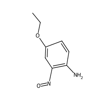 CCOc1ccc(N)c(N=O)c1